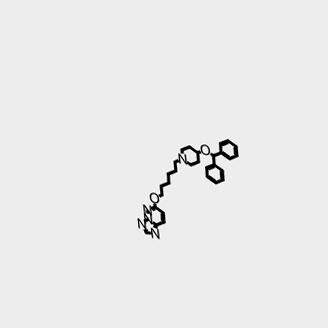 c1ccc(C(OC2CCN(CCCCCCOc3ccc4ncnn4n3)CC2)c2ccccc2)cc1